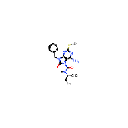 CCCSc1nc(N)c2c(n1)n(Cc1ccccc1)c(=O)n2C(=O)N(C)C(C=O)CC(C)C